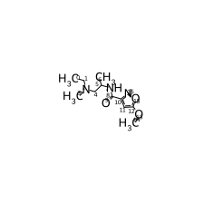 CCN(C)CC(C)NC(=O)c1cc(OC)on1